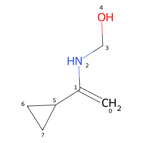 C=C(NCO)C1CC1